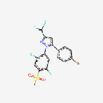 CS(=O)(=O)c1cc(F)c(-n2nc(C(F)F)cc2-c2ccc(Br)cc2)cc1F